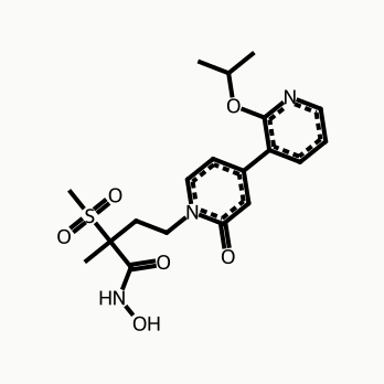 CC(C)Oc1ncccc1-c1ccn(CCC(C)(C(=O)NO)S(C)(=O)=O)c(=O)c1